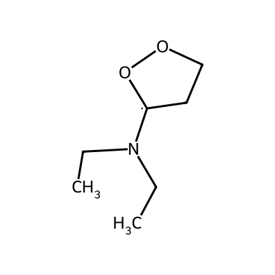 CCN(CC)[C]1CCOO1